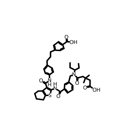 CCC(CC)N(Cc1cccc(C(=O)Nc2sc3c(c2C(=O)Nc2ccc(CCCc4ccc(C(=O)O)cc4)cc2)CCCC3)c1)C(=O)CC(C)(C)CC(=O)O